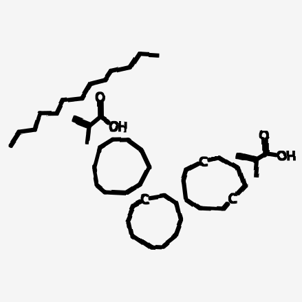 C1CCCCCCCCC1.C1CCCCCCCCC1.C1CCCCCCCCC1.C=C(C)C(=O)O.C=C(C)C(=O)O.CCCCCCCCCCCCC